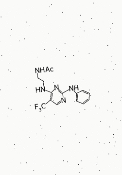 CC(=O)NCCNc1nc(Nc2ccccc2)ncc1C(F)(F)F